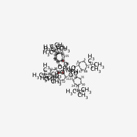 CC(C)(C)c1ccc(O[PH](Oc2ccc(C(C)(C)C)cc2)(Oc2ccc(C(C)(C)C)cc2)[Ni][PH](Oc2ccc(C(C)(C)C)cc2)(Oc2ccc(C(C)(C)C)cc2)Oc2ccc(C(C)(C)C)cc2)cc1